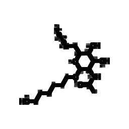 CC(=O)NC1C(OCCCCCCO)OC(CN=[N+]=[N-])C(O)C1O